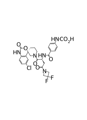 O=C(O)Nc1ccc(C(=O)N[C@@H](CC(=O)N2CC(F)(F)C2)C(=O)N2CCC[C@@]3(C2)OC(=O)Nc2ccc(Cl)cc23)cc1